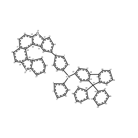 c1ccc(N(c2ccc(-c3ccc4oc5ccc6ccc7sc8ccccc8c7c6c5c4c3)cc2)c2ccc3c(c2)C(c2ccccc2)(c2ccccc2)c2ccccc2-3)cc1